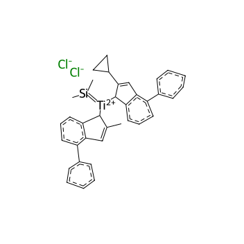 CC1=Cc2c(-c3ccccc3)cccc2[CH]1[Ti+2]([CH]1C(C2CC2)=Cc2c(-c3ccccc3)cccc21)=[Si](C)C.[Cl-].[Cl-]